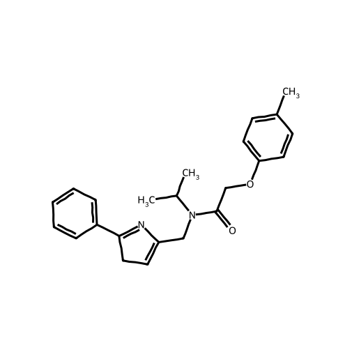 Cc1ccc(OCC(=O)N(CC2=CCC(c3ccccc3)=N2)C(C)C)cc1